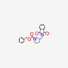 O=C(OCc1ccccc1)N1CCCC(CN2C(=O)c3ccccc3C2=O)C1